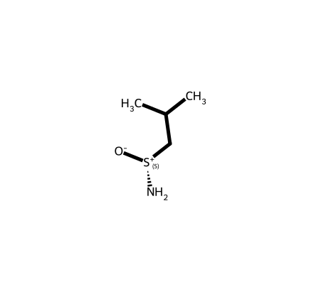 CC(C)C[S@+](N)[O-]